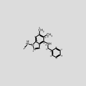 Cc1cc2c(cnn2PI)c(NCc2ccccc2)c1C